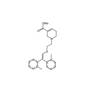 COC(=O)C1=CCCN(CCOC=C(c2ccccc2C)c2ccccc2C)C1